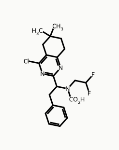 CC1(C)CCc2nc(C(Cc3ccccc3)N(CC(F)F)C(=O)O)nc(Cl)c2C1